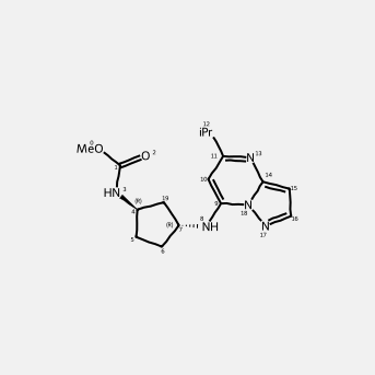 COC(=O)N[C@@H]1CC[C@@H](Nc2cc(C(C)C)nc3ccnn23)C1